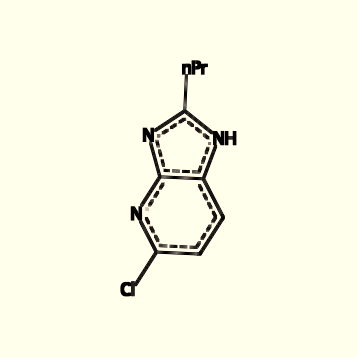 CCCc1nc2nc(Cl)ccc2[nH]1